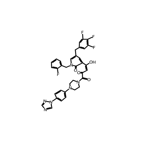 O=C(/C=C(/O)c1cc(Cc2cc(F)c(F)c(F)c2)cn(Cc2ccccc2F)c1=O)C(=O)N1CCN(c2ccc(-n3cncn3)cc2)CC1